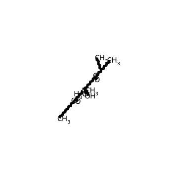 CCCCCCCCCCCOC(=O)CCCCCN(CCCCCCCC(=O)OCCCC(CCCCCC)CCCCCC)C(C)(C)CO